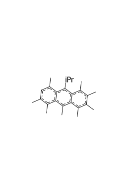 Cc1cc(C)c2c(C(C)C)c3c(C)c(C)c(C)c(C)c3c(C)c2c1C